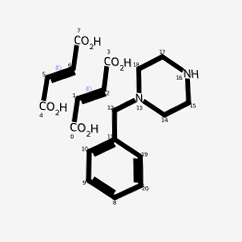 O=C(O)/C=C/C(=O)O.O=C(O)/C=C/C(=O)O.c1ccc(CN2CCNCC2)cc1